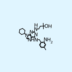 Cc1ccc(CNc2nc(NCCC(C)(C)O)nc3c2ncn3C2CCCCC2)c(N)c1